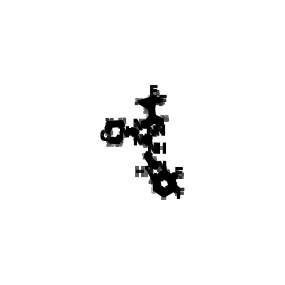 Fc1ccc2[nH]c(CNc3nc(N4CCOCC4)nc4c(C5CC5(F)F)cnn34)nc2c1F